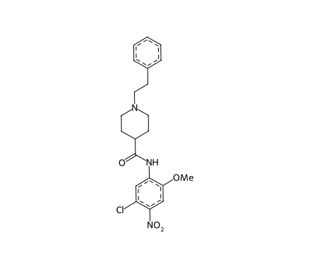 COc1cc([N+](=O)[O-])c(Cl)cc1NC(=O)C1CCN(CCc2ccccc2)CC1